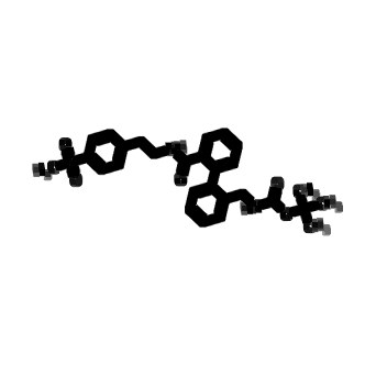 CC(C)(C)OC(=O)NCc1ccccc1-c1ccccc1C(=O)NCCc1ccc(S(C)(=O)=O)cc1